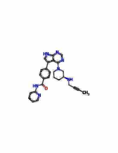 CC#CCN[C@H]1CCCN(c2ncnc3[nH]cc(-c4ccc(C(=O)Nc5ccccn5)cc4)c23)C1